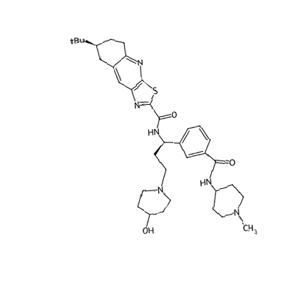 CN1CCC(NC(=O)c2cccc([C@@H](CCN3CCC(O)CC3)NC(=O)c3nc4cc5c(nc4s3)CC[C@H](C(C)(C)C)C5)c2)CC1